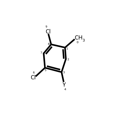 Cc1c[c]([Y])c(Cl)cc1Cl